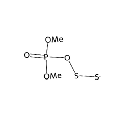 COP(=O)(OC)OS[S]